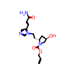 C=CCOC(=O)N1C[C@H](O)C[C@H]1CCn1cncc1C=CC(N)=O